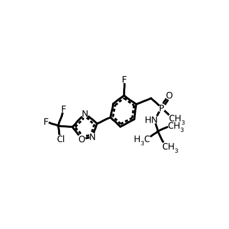 CC(C)(C)NP(C)(=O)Cc1ccc(-c2noc(C(F)(F)Cl)n2)cc1F